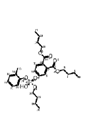 CCCCOC(=O)c1ccccc1C(=O)OCCCC.CCCCOP(=O)(O)Oc1ccccc1C